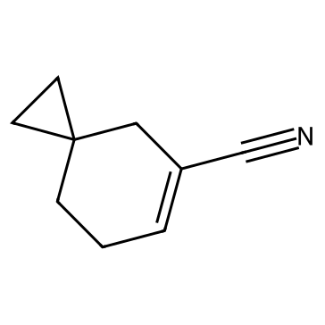 N#CC1=CCCC2(CC2)C1